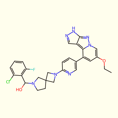 CCOc1cc(-c2ccc(N3CC4(CCN(C(O)c5c(F)cccc5Cl)C4)C3)nc2)c2c3cn[nH]c3nn2c1